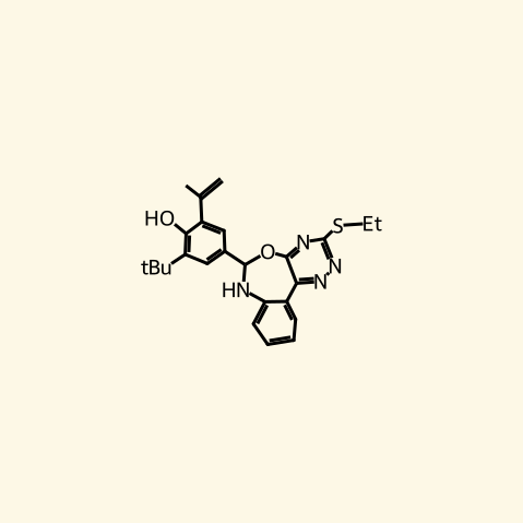 C=C(C)c1cc(C2Nc3ccccc3-c3nnc(SCC)nc3O2)cc(C(C)(C)C)c1O